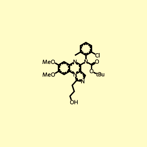 COc1cc2nc(N(C(=O)OC(C)(C)C)c3c(C)cccc3Cl)c3cnc(CCCO)n3c2cc1OC